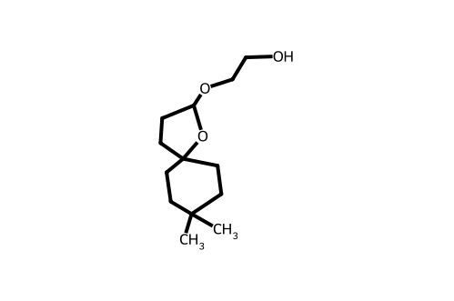 CC1(C)CCC2(CCC(OCCO)O2)CC1